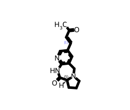 CC(=O)/C=C/c1cnc2c(c1)CN1CCC[C@H]1C(=O)N2